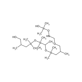 CC(COCNO[Si](C)(C)O)C[Si](C)(C)OC(C)[Si](C)(C)O[Si](C)(C)CC(C)CO